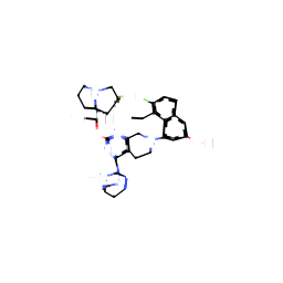 [2H]C([2H])(Oc1nc2c(c(N3CC4CCC3CN4)n1)CCN(c1cc(O)cc3ccc(F)c(CC)c13)C2)[C@@]12CCCN1C[C@]([2H])(F)C2